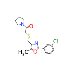 Cc1oc(-c2cccc(Cl)c2)nc1CSCC(=O)N1CCCC1